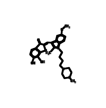 COc1ccc2c(c1)c(/C=C1\Oc3c(ccc(O)c3O)C1=O)c(C)n2CCCCN1CCN(C)CC1